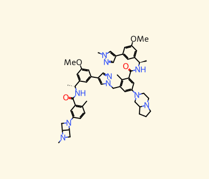 COc1cc(-c2cnn(Cc3cc(N4CCN5CCCC5C4)cc(C(=O)N[C@H](C)c4cc(OC)cc(-c5cnn(C)c5)c4)c3C)c2)cc([C@@H](C)NC(=O)c2cc(N3CC4C3CN4C)ccc2C)c1